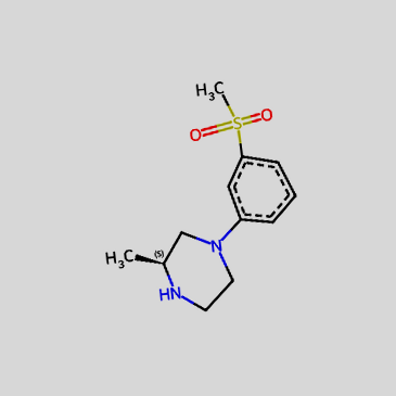 C[C@H]1CN(c2cccc(S(C)(=O)=O)c2)CCN1